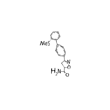 CSc1ccccc1-c1ccc(C2=NOC(C(N)=O)C2)cc1